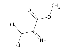 COC(=O)C(=N)C(Cl)Cl